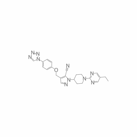 CCc1cnc(N2CCC(n3ncc(COc4ccc(-n5cnnn5)cc4)c3C#N)CC2)nc1